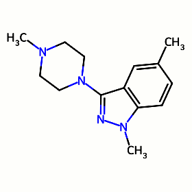 Cc1ccc2c(c1)c(N1CCN(C)CC1)nn2C